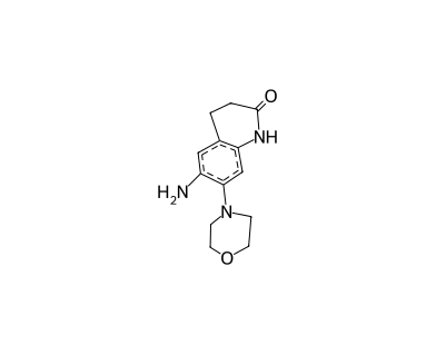 Nc1cc2c(cc1N1CCOCC1)NC(=O)CC2